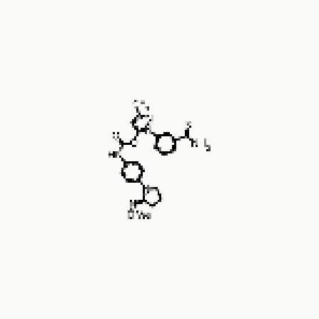 CON=C1CCCN1c1ccc(NC(=O)Oc2cc(C(F)(F)F)nn2-c2cccc(C(N)=S)c2)cc1